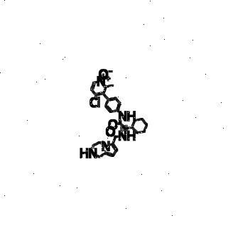 Cc1c(-c2ccc(NC(=O)[C@@H](NC(=O)c3ccc4n3CCNC4)C3CCCCC3)cc2)c(Cl)cc[n+]1[O-]